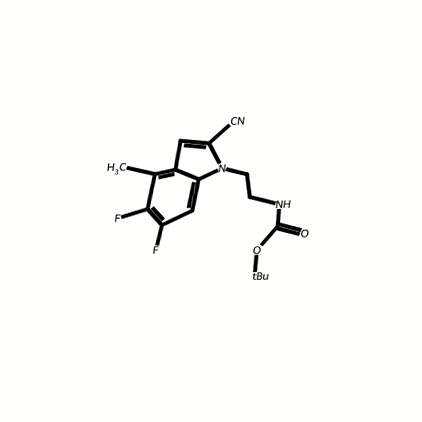 Cc1c(F)c(F)cc2c1cc(C#N)n2CCNC(=O)OC(C)(C)C